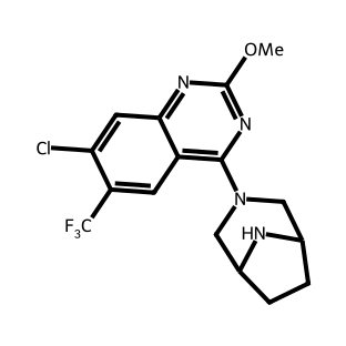 COc1nc(N2CC3CCC(C2)N3)c2cc(C(F)(F)F)c(Cl)cc2n1